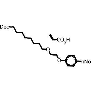 C=CC(=O)O.CCCCCCCCCCCCCCCCCCOCCOc1ccc(CCCCCCCCC)cc1